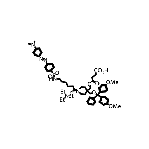 CCN(CC)CC.COc1ccc(C(OCC2(COC(=O)CCC(=O)O)CCN(C(=O)CCCCCNS(=O)(=O)c3ccc(/N=N/c4ccc(N(C)C)cc4)cc3)CC2)(c2ccccc2)c2ccc(OC)cc2)cc1